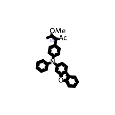 CO/C(C)=C(\C(C)=O)c1ccc(N(c2ccccc2)c2ccc3c(c2)oc2ccccc23)cc1